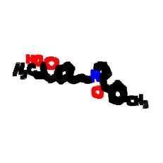 CCC(Cc1cccc(/C=C/Cn2cccc2C(=O)c2ccc(C)cc2)c1)C(=O)O